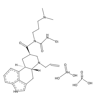 C=CCN1C[C@H](C(=O)N(CCCN(C)C)C(=O)NCC)C[C@@H]2c3cccc4[nH]cc(c34)C[C@H]21.O=[PH](O)O.O=[PH](O)O